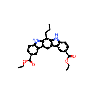 CCCc1c2[nH]c3ccc(C(=O)OCC)cc3c2cc2c1[nH]c1ccc(C(=O)OCC)cc12